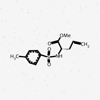 C=CC[C@H](NS(=O)(=O)c1ccc(C)cc1)C(=O)OC